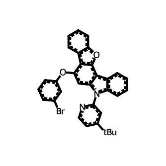 CC(C)(C)c1ccnc(-n2c3ccccc3c3c4oc5ccccc5c4c(Oc4cccc(Br)c4)cc32)c1